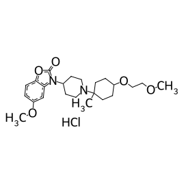 COCCOC1CCC(C)(N2CCC(n3c(=O)oc4ccc(OC)cc43)CC2)CC1.Cl